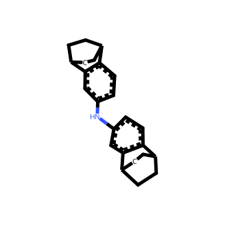 c1cc2c(cc1Nc1ccc3c(c1)C1CCC3CC1)C1CCC2CC1